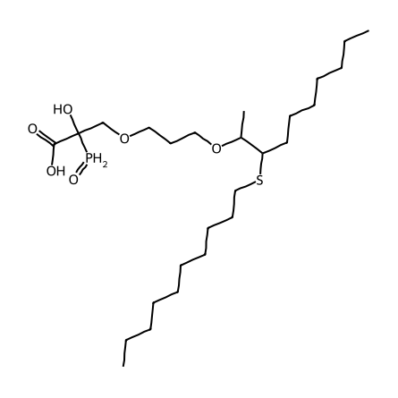 CCCCCCCCCCSC(CCCCCCC)C(C)OCCCOCC(O)([PH2]=O)C(=O)O